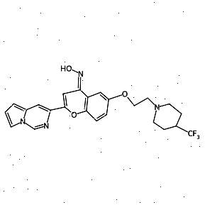 ON=c1cc(-c2cc3cccn3cn2)oc2ccc(OCCN3CCC(C(F)(F)F)CC3)cc12